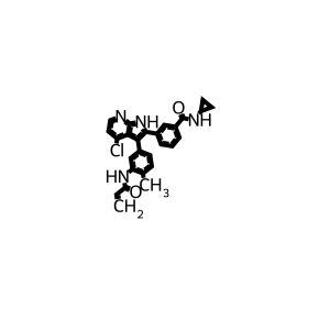 C=CC(=O)Nc1cc(-c2c(-c3cccc(C(=O)NC4CC4)c3)[nH]c3nccc(Cl)c23)ccc1C